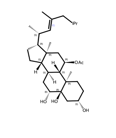 CC(=O)O[C@@H]1C[C@]2(C)[C@@H]([C@H](C)/C=C(\C)CC(C)C)CC[C@H]2[C@@H]2C[C@@H](O)[C@@]3(O)C[C@@H](O)CC[C@]3(C)[C@H]21